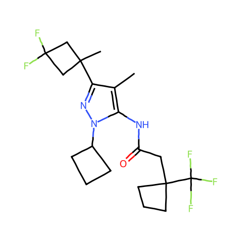 Cc1c(C2(C)CC(F)(F)C2)nn(C2CCC2)c1NC(=O)CC1(C(F)(F)F)CCC1